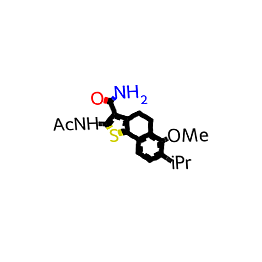 COc1c(C(C)C)ccc2c1CCc1c-2sc(NC(C)=O)c1C(N)=O